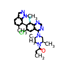 C=CC(=O)N1C[C@H](C)N(c2ncnc3c(F)c(-c4c(C)ccc5cnn(C)c45)c(Cl)cc23)C[C@H]1C